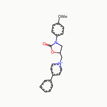 COc1ccc(N2CC(C[n+]3ccc(-c4ccccc4)cc3)OC2=O)cc1